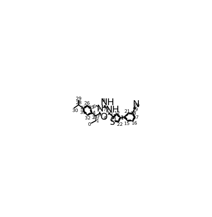 CC[C@H](C(=O)N(C)C(=N)NCc1cc(-c2cccc(C#N)c2)cs1)c1ccc(C(C)C)cc1